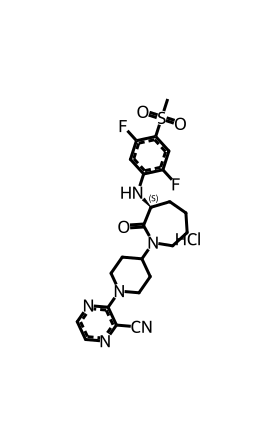 CS(=O)(=O)c1cc(F)c(N[C@H]2CCCCN(C3CCN(c4nccnc4C#N)CC3)C2=O)cc1F.Cl